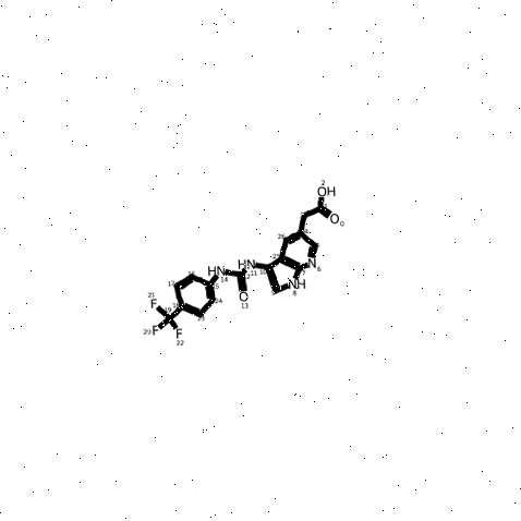 O=C(O)Cc1cnc2[nH]cc(NC(=O)Nc3ccc(C(F)(F)F)cc3)c2c1